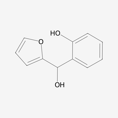 Oc1ccccc1C(O)c1ccco1